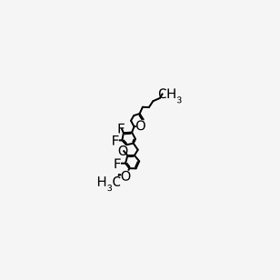 CCCCCC1=COC(c2cc3c(c(F)c2F)Oc2c(ccc(OCC)c2F)C3)CC1